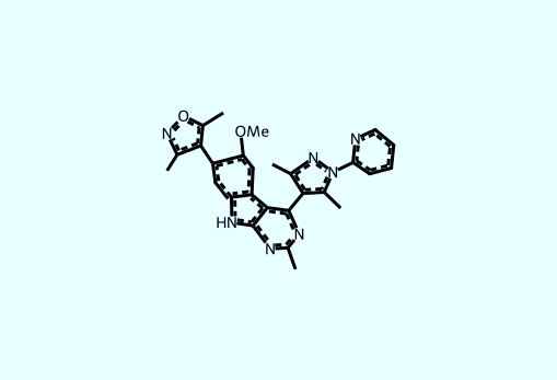 COc1cc2c(cc1-c1c(C)noc1C)[nH]c1nc(C)nc(-c3c(C)nn(-c4ccccn4)c3C)c12